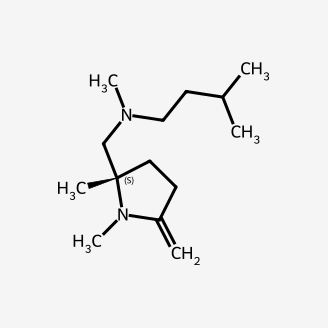 C=C1CC[C@@](C)(CN(C)CCC(C)C)N1C